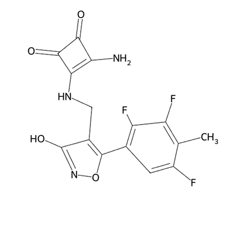 Cc1c(F)cc(-c2onc(O)c2CNc2c(N)c(=O)c2=O)c(F)c1F